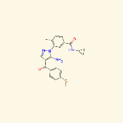 CSc1ccc(C(=O)c2cnn(-c3cc(C(=O)NC4CC4)ccc3C)c2N)cc1